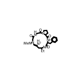 CCC1C/C(N)=C/N(NC)CC(=O)NCC(=O)N2CCCC2C(=O)NC(Cc2ccccc2)C(=O)N1